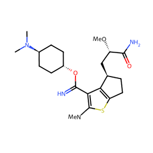 CNc1sc2c(c1C(=N)O[C@H]1CC[C@H](N(C)C)CC1)[C@@H](C[C@H](OC)C(N)=O)CC2